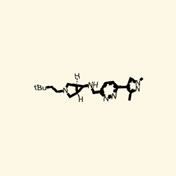 Cc1nn(C)cc1-c1ccc(CNC2[C@H]3CN(CCC(C)(C)C)C[C@@H]23)nn1